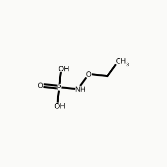 CCONP(=O)(O)O